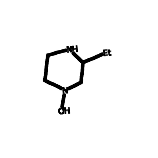 CCC1CN(O)CCN1